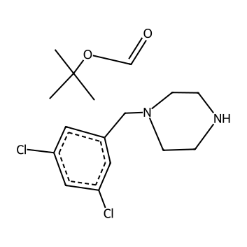 CC(C)(C)OC=O.Clc1cc(Cl)cc(CN2CCNCC2)c1